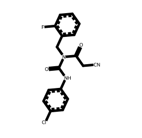 N#CCC(=O)N(Cc1ccccc1F)C(=O)Nc1ccc(Cl)cc1